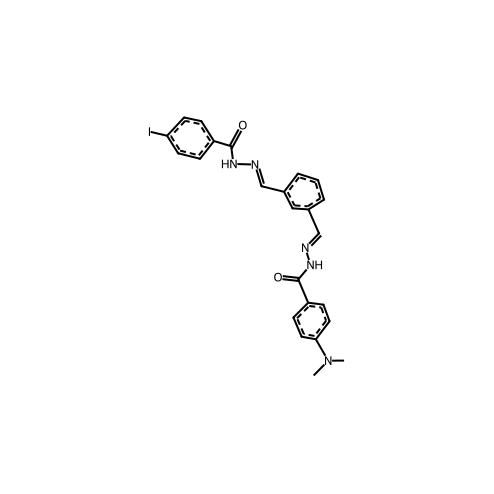 CN(C)c1ccc(C(=O)N/N=C/c2cccc(/C=N/NC(=O)c3ccc(I)cc3)c2)cc1